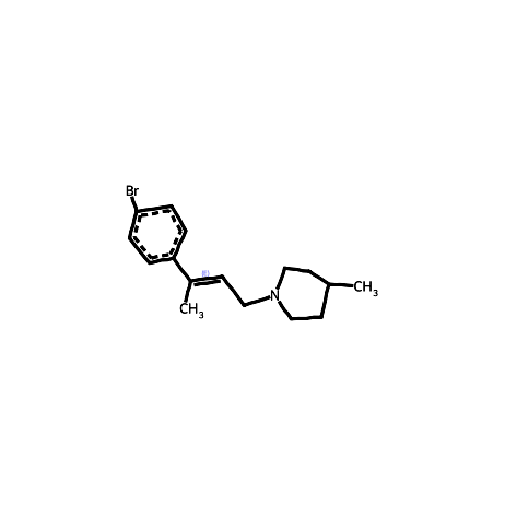 C/C(=C\CN1CCC(C)CC1)c1ccc(Br)cc1